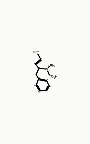 CC(C)(C)N(C(=O)O)C(C=CC#N)Cc1ccccc1